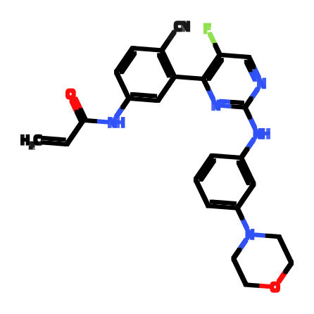 C=CC(=O)Nc1ccc(C#N)c(-c2nc(Nc3cccc(N4CCOCC4)c3)ncc2F)c1